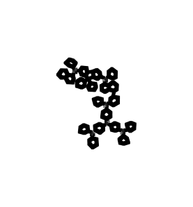 c1ccc(N(c2ccccc2)c2ccc(N(c3ccc(N(c4ccccc4)c4ccccc4)cc3)c3ccc(N(c4ccccc4)c4cccc(-c5cccc6c(N(c7ccccc7)c7ccc8c(c7)C(c7ccccc7)(c7ccccc7)c7cc(N(c9ccccc9)c9cccc%10ccccc9%10)ccc7-8)cccc56)c4)cc3)cc2)cc1